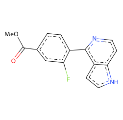 COC(=O)c1ccc(-c2nccc3[nH]ccc23)c(F)c1